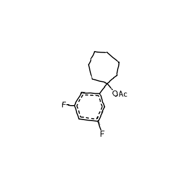 CC(=O)OC1(c2cc(F)cc(F)c2)CCCCCC1